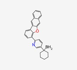 BC1(c2ccc(-c3cccc4c3oc3cc5ccccc5cc34)nc2)CCCCC1